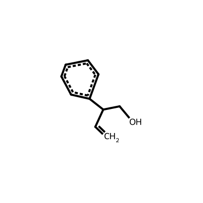 C=CC(CO)c1ccccc1